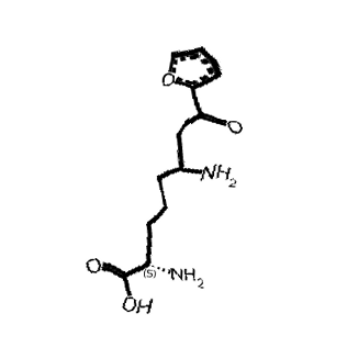 NC(CCC[C@H](N)C(=O)O)CC(=O)c1ccco1